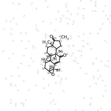 C[C@@H]1C[C@H]2[C@@H]3C(=O)C=C4[C@@H]5O[C@@H]5CC[C@]4(C)[C@H]3CC[C@]2(C)C1=O